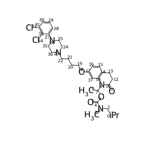 CC(C)CN(C)C(=O)OC(C)N1C(=O)CCc2ccc(OCCCCN3CCN(c4cccc(Cl)c4Cl)CC3)cc21